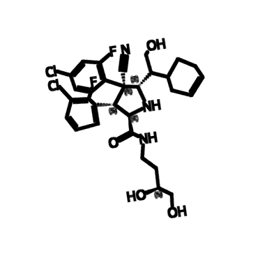 N#C[C@]1(c2ccc(Cl)cc2F)[C@H](C(CO)C2CC=CCC2)N[C@@H](C(=O)NCC[C@H](O)CO)[C@@H]1c1cccc(Cl)c1F